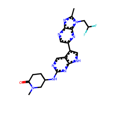 Cc1nc2ncc(-c3c[nH]c4nc(NC5CCC(=O)N(C)C5)ncc34)nc2n1CC(F)F